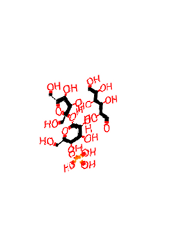 O=C[C@H](O)[C@@H](O)[C@H](O)[C@H](O)CO.O=P(O)(O)O.OC[C@H]1O[C@@](CO)(O[C@H]2O[C@H](CO)[C@@H](O)[C@H](O)[C@H]2O)[C@@H](O)[C@@H]1O